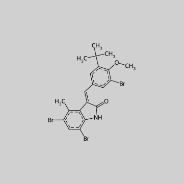 COc1c(Br)cc(C=C2C(=O)Nc3c(Br)cc(Br)c(C)c32)cc1C(C)(C)C